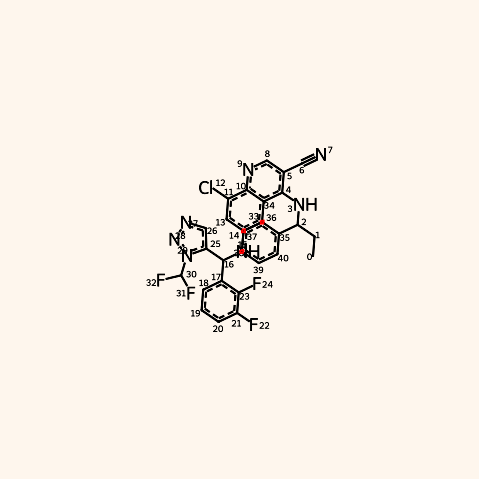 CCC(Nc1c(C#N)cnc2c(Cl)cc(NC(c3cccc(F)c3F)c3cnnn3C(F)F)cc12)c1ccccc1